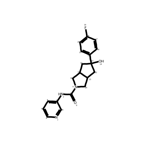 O=C(Nc1cccnc1)N1CC2CC(O)(c3ccc(F)cc3)CC2C1